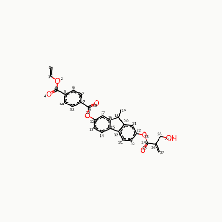 C=COC(=O)c1ccc(C(=O)Oc2ccc3c(c2)C(C)c2cc(OC(=O)C(=C)CO)ccc2-3)cc1